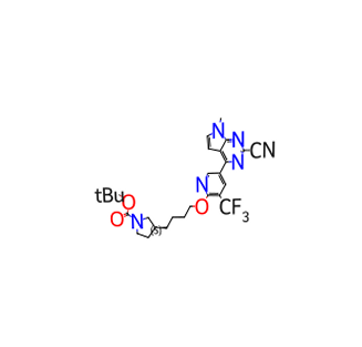 Cn1ccc2c(-c3cnc(OCCCC[C@H]4CCN(C(=O)OC(C)(C)C)C4)c(C(F)(F)F)c3)nc(C#N)nc21